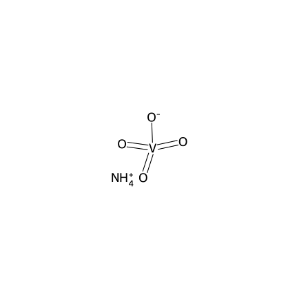 [NH4+].[O]=[V](=[O])(=[O])[O-]